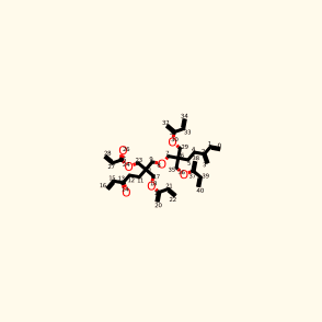 C=CC(=C)CCC(COCC(CCC(=O)C=C)(COC(=C)C=C)COC(=O)C=C)(COC(=C)C=C)COC(=C)C=C